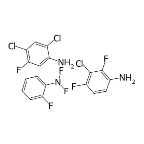 Fc1ccccc1N(F)F.Nc1cc(F)c(Cl)cc1Cl.Nc1ccc(F)c(Cl)c1F